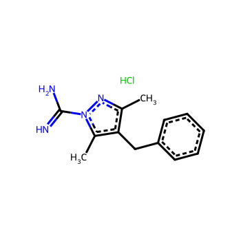 Cc1nn(C(=N)N)c(C)c1Cc1ccccc1.Cl